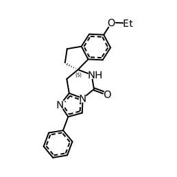 CCOc1ccc2c(c1)CC[C@]21Cc2nc(-c3ccccc3)cn2C(=O)N1